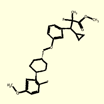 COC(=O)C(C)(F)C(c1cccc(OC[C@H]2CC[C@H](c3cc(OC)ccc3F)CC2)c1)C1CC1